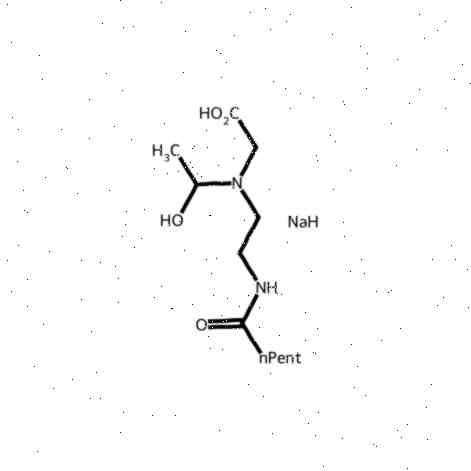 CCCCCC(=O)NCCN(CC(=O)O)C(C)O.[NaH]